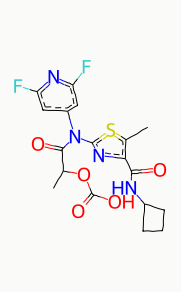 Cc1sc(N(C(=O)C(C)OC(=O)O)c2cc(F)nc(F)c2)nc1C(=O)NC1CCC1